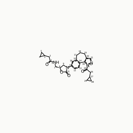 O=C(CC1CC1)NC[C@H]1CN(c2ccc3c(c2)CCCc2cnn(C(=O)CC4CC4)c2-3)C(=O)O1